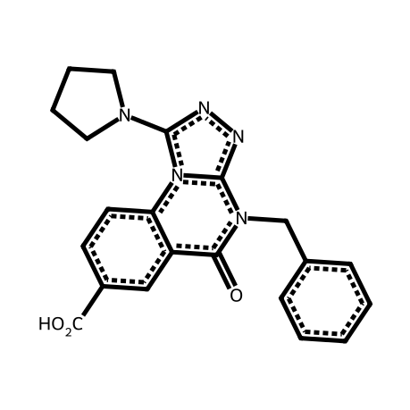 O=C(O)c1ccc2c(c1)c(=O)n(Cc1ccccc1)c1nnc(N3CCCC3)n21